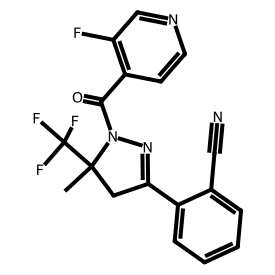 CC1(C(F)(F)F)CC(c2ccccc2C#N)=NN1C(=O)c1ccncc1F